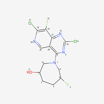 OC1CCC(F)CN(c2nc(Cl)nc3c(F)c(Cl)ncc23)C1